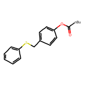 CCCCC(=O)Oc1ccc(CSc2ccccc2)cc1